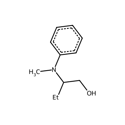 CCC(CO)N(C)c1ccccc1